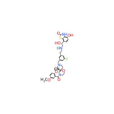 COc1ccc(OC)c(C(=O)N2CCOC3(CCN(Cc4cc(F)cc(CCNC[C@H](O)c5ccc(O)c6[nH]c(=O)sc56)c4)CC3)C2)c1